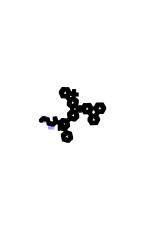 C=C(/C=C\C=C/C)c1cc(-c2ccc3c(c2)c2cc4c(cc2n3-c2ccc3c5ccccc5c5ccccc5c3c2)C(C)(C)c2ccccc2-4)cc(-c2ccccc2)n1